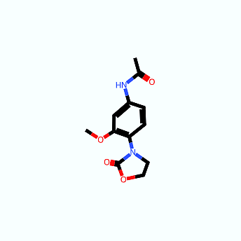 COc1cc(NC(C)=O)ccc1N1CCOC1=O